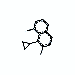 CC(C)(C)c1cccc2ccc(F)c(C3CC3)c12